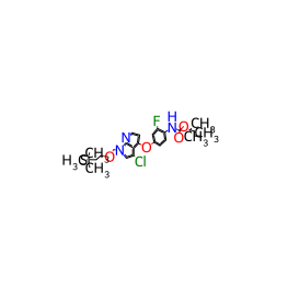 CC(C)(C)OC(=O)Nc1ccc(Oc2ccnc3c2c(Cl)cn3COCC[Si](C)(C)C)cc1F